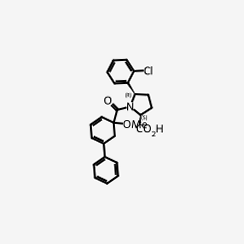 COC1(C(=O)N2[C@@H](c3ccccc3Cl)CC[C@H]2C(=O)O)C=CC=C(c2ccccc2)C1